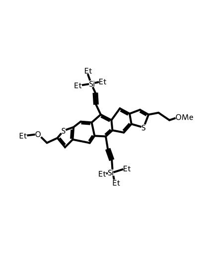 CCOCc1cc2cc3c(C#C[Si](CC)(CC)CC)c4cc5sc(CCOC)cc5cc4c(C#C[Si](CC)(CC)CC)c3cc2s1